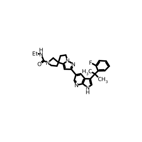 CCNC(=O)N1CCC2(CCn3nc(-c4cnc5[nH]cc(C(C)(C)c6ccccc6F)c5c4)cc32)C1